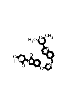 C[C@@H]1CC(c2ccc3cc(CN4CCC(Oc5ccc6c(c5)CN(C5CCC(=O)NC5=O)C6=O)C4)ccc3n2)C[C@@H](C)O1